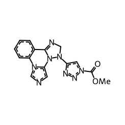 COC(=O)n1cc(N2CN=C3c4ccccc4-n4cncc4N32)nn1